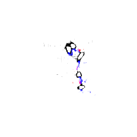 Nc1ccc(C(=O)Nc2ccc(C(=O)Nc3ccc(C(=O)Nc4cc(S(=O)(=O)O)cc5cc(S(=O)(=O)O)cc(S(=O)(=O)O)c45)c(S(=O)(=O)O)c3)c(S(=O)(=O)O)c2)c(S(=O)(=O)O)c1